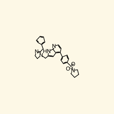 O=S(=O)(c1ccc(-c2ccnc3[nH]c(CN4CCN=C4Cc4ccccc4)cc23)cc1)N1CCCC1